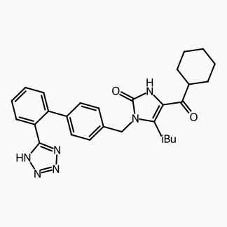 CCC(C)c1c(C(=O)C2CCCCC2)[nH]c(=O)n1Cc1ccc(-c2ccccc2-c2nnn[nH]2)cc1